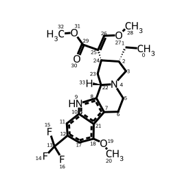 CC[C@@H]1CN2CCc3c([nH]c4cc(C(F)(F)F)cc(OC)c34)[C@@H]2C[C@@H]1/C(=C\OC)C(=O)OC